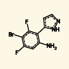 Nc1cc(F)c(Br)c(F)c1-c1ccn[nH]1